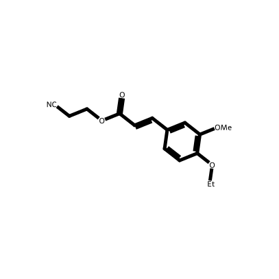 CCOc1ccc(/C=C/C(=O)OCCC#N)cc1OC